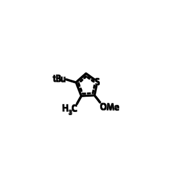 COc1scc(C(C)(C)C)c1C